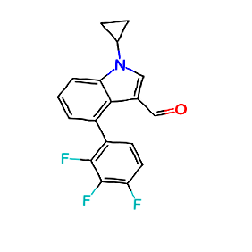 O=Cc1cn(C2CC2)c2cccc(-c3ccc(F)c(F)c3F)c12